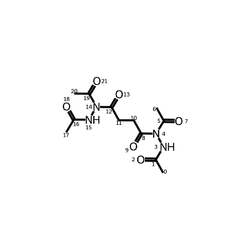 CC(=O)NN(C(C)=O)C(=O)CCC(=O)N(NC(C)=O)C(C)=O